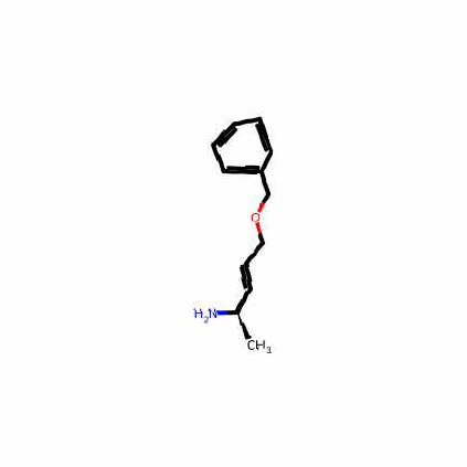 C[C@@H](N)C=CCOCc1ccccc1